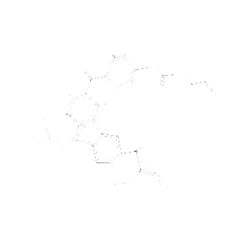 C=CCOC(=O)Oc1ccc(C(=O)c2ccc3c(c2)c2cc(C(=O)/C(CCCCC)=N/OC(C)=O)ccc2n3CC(CC)CCCC)cc1